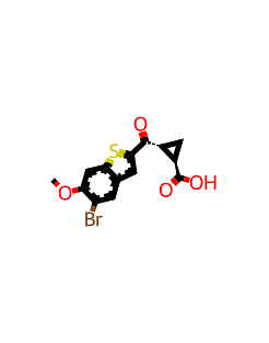 COc1cc2sc(C(=O)[C@@H]3C[C@H]3C(=O)O)cc2cc1Br